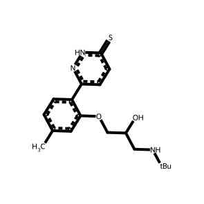 Cc1ccc(-c2ccc(=S)[nH]n2)c(OCC(O)CNC(C)(C)C)c1